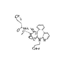 C[C@@H](NC(=O)CCC(F)(F)F)C(=O)N[C@@H]1C(=O)N(CCO)c2ncccc2-c2ccccc21